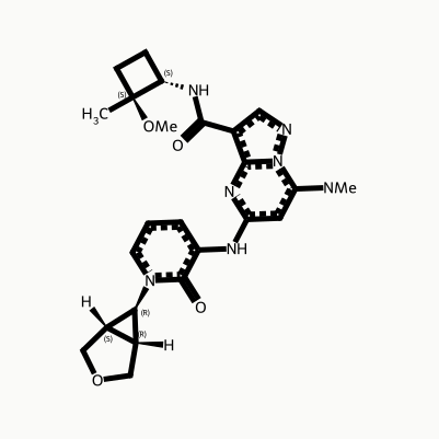 CNc1cc(Nc2cccn([C@H]3[C@@H]4COC[C@@H]43)c2=O)nc2c(C(=O)N[C@H]3CC[C@]3(C)OC)cnn12